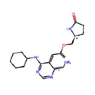 C=C(/C=c1/c(NC2CCCCC2)ncn/c1=C/N)OC[C@@H]1CCC(=O)N1